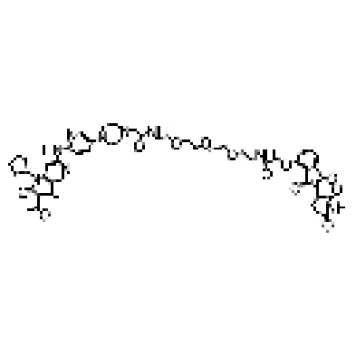 CC(=O)c1c(C)c2cnc(Nc3ccc(N4CCN(CC(=O)NCCOCCOCCOCCNC(=O)COc5cccc6c5C(=O)N(C5CCC(=O)NC5=O)C6=O)CC4)cn3)cc2n(C2CCCC2)c1=O